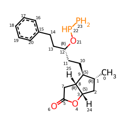 C[C@@H]1C[C@@H]2OC(=O)C[C@@H]2[C@H]1CC[C@H](CCc1ccccc1)OPP